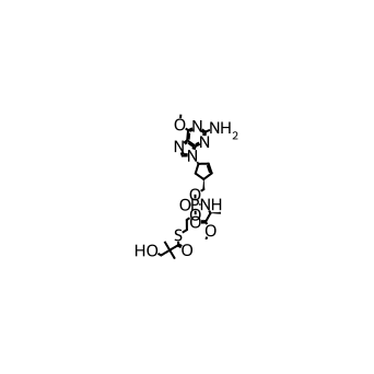 COC(=O)[C@H](C)NP(=O)(OCCSC(=O)C(C)(C)CO)OC[C@@H]1C=C[C@H](n2cnc3c(OC)nc(N)nc32)C1